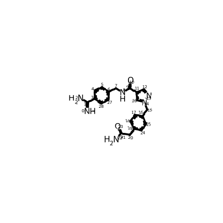 N=C(N)c1ccc(CNC(=O)c2cnn(Cc3ccc(CC(N)=O)cc3)c2)cc1